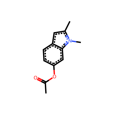 CC(=O)Oc1ccc2cc(C)n(C)c2c1